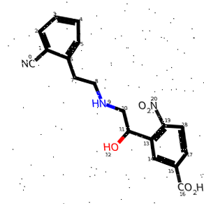 N#Cc1ccccc1CCNCC(O)c1cc(C(=O)O)ccc1[N+](=O)[O-]